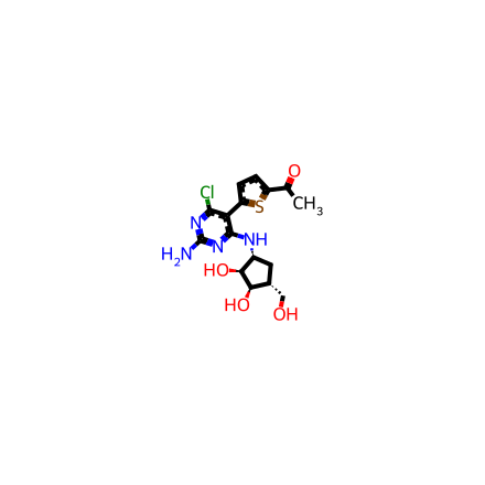 CC(=O)c1ccc(-c2c(Cl)nc(N)nc2N[C@@H]2C[C@H](CO)[C@@H](O)[C@H]2O)s1